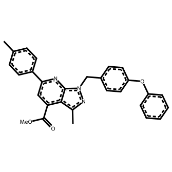 COC(=O)c1cc(-c2ccc(C)cc2)nc2c1c(C)nn2Cc1ccc(Oc2ccccc2)cc1